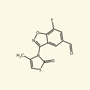 Cc1csc(=O)n1-c1noc2c(F)cc(C=O)cc12